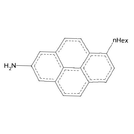 CCCCCCc1ccc2ccc3cc(N)cc4ccc1c2c34